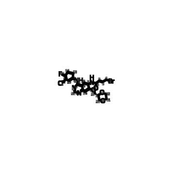 O=C(C=CCBr)Nc1cc2c(Nc3ccc(F)c(Cl)c3)ncnc2cc1OC[C@H]1COCCO1